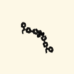 CCC(c1ccccc1)c1ccc(-c2ccc(OC(=O)Oc3ccc(-c4ccc(C(CC)c5ccccc5)cc4)cc3)cc2)cc1